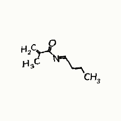 C=C(C)C(=O)N=CCCC